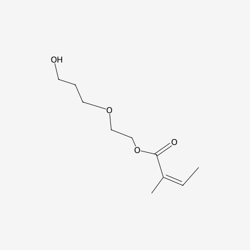 CC=C(C)C(=O)OCCOCCCO